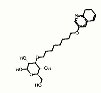 OC[C@H]1OC(O)[C@H](O)[C@@H](OCCCCCCCCOc2cnc3c(c2)C=CCC3)[C@@H]1O